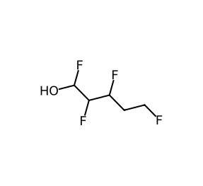 OC(F)C(F)C(F)CCF